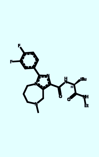 CCNC(=O)[C@@H](NC(=O)c1nc(-c2ccc(F)c(F)c2)n2c1CN(C)CCC2)C(C)(C)C